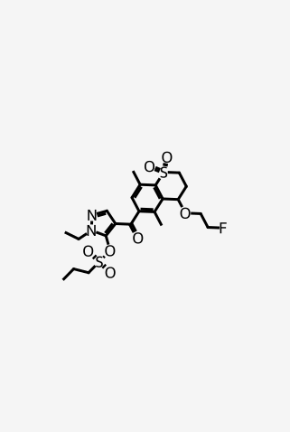 CCCS(=O)(=O)Oc1c(C(=O)c2cc(C)c3c(c2C)C(OCCF)CCS3(=O)=O)cnn1CC